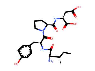 CC[C@H](C)[C@H](N)C(=O)N[C@@H](Cc1ccc(O)cc1)C(=O)N1CCC[C@H]1C(=O)N[C@@H](CC(=O)O)C(=O)O